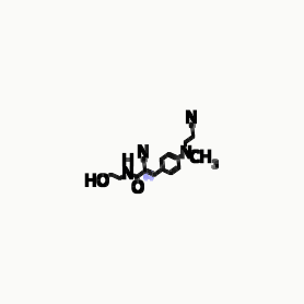 CN(CCC#N)c1ccc(/C=C(\C#N)C(=O)NCCO)cc1